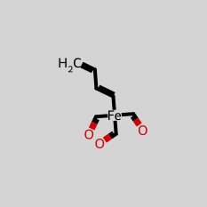 C=CC=[CH][Fe]([CH]=O)([CH]=O)[CH]=O